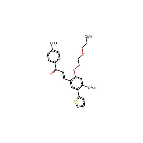 COCCOCCOc1cc(OC)c(-c2cccs2)cc1/C=C/C(=O)c1ccc(C(=O)O)cc1